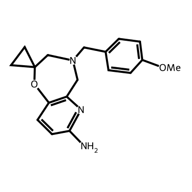 COc1ccc(CN2Cc3nc(N)ccc3OC3(CC3)C2)cc1